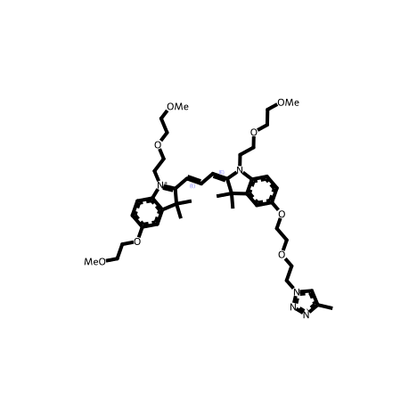 COCCOCCN1/C(=C/C=C/C2=[N+](CCOCCOC)c3ccc(OCCOC)cc3C2(C)C)C(C)(C)c2cc(OCCOCCn3cc(C)nn3)ccc21